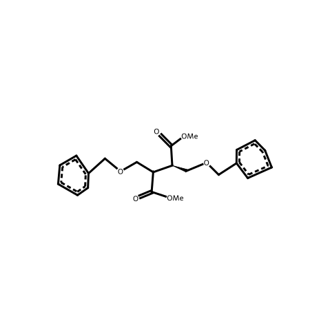 COC(=O)[C](COCc1ccccc1)[C@H](COCc1ccccc1)C(=O)OC